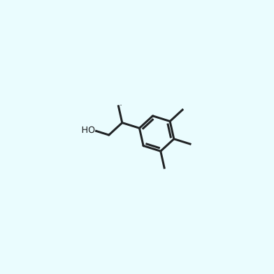 [CH2]C(CO)c1cc(C)c(C)c(C)c1